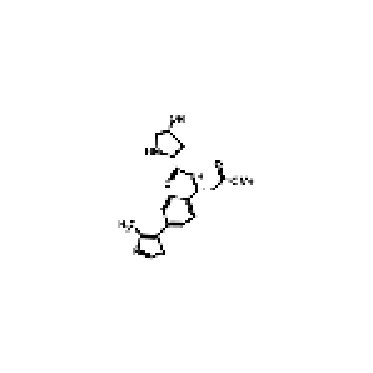 COC(=O)C[C@@H](NC(=O)[C@H]1C[C@H](O)CN1)c1ccc(-c2scnc2C)cc1